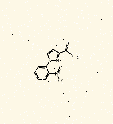 NC(=O)c1ccn(-c2ccccc2[N+](=O)[O-])n1